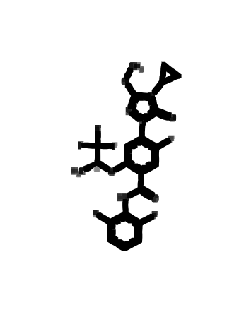 COc1nn(-c2cc(O[C@@H](C)C(F)(F)F)c(C(=O)Nc3c(F)cccc3F)cc2F)c(=O)n1C1CC1